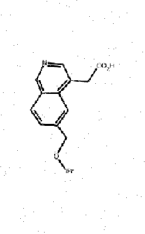 CC(C)OCc1ccc2cncc(CC(=O)O)c2c1